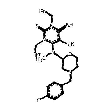 CC(C)Cn1c(N(C)C2CN(Cc3ccc(F)cc3)CCO2)c(C#N)c(=N)n(CC(C)C)c1=S